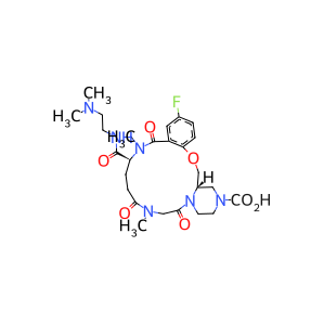 CN(C)CCNC(=O)[C@@H]1CCC(=O)N(C)CC(=O)N2CCN(C(=O)O)C[C@H]2COc2ccc(F)cc2C(=O)N1C